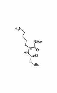 CCCCOC(=O)N[C@@H](CCCCN)C(=O)NC